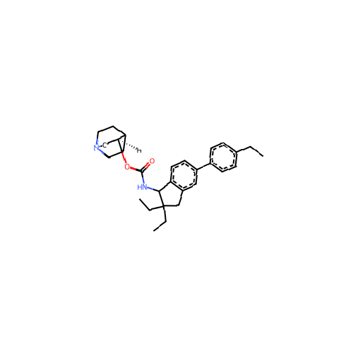 CCc1ccc(-c2ccc3c(c2)CC(CC)(CC)C3NC(=O)O[C@H]2CN3CCC2CC3)cc1